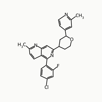 Cc1cc(C2CC(c3cc4nc(C)ccc4c(-c4ccc(Cl)cc4F)n3)CCO2)ccn1